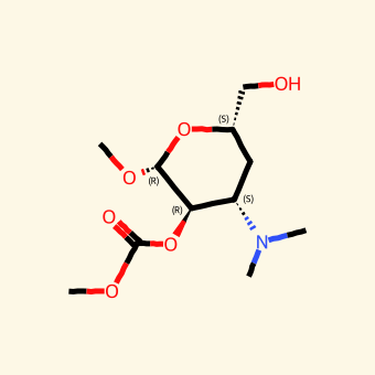 COC(=O)O[C@H]1[C@H](OC)O[C@H](CO)C[C@@H]1N(C)C